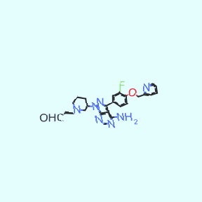 Nc1ncnc2c1c(-c1ccc(OCc3ccccn3)c(F)c1)nn2C1CCCN(C=CC=O)C1